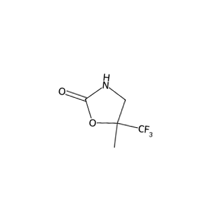 CC1(C(F)(F)F)CNC(=O)O1